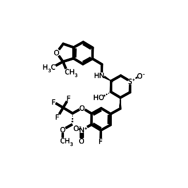 COC[C@@H](Oc1cc(C[C@@H]2C[S@@+]([O-])C[C@H](NCc3ccc4c(c3)C(C)(C)OC4)[C@H]2O)cc(F)c1[N+](=O)[O-])C(F)(F)F